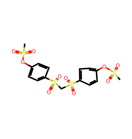 CS(=O)(=O)Oc1ccc(S(=O)(=O)CS(=O)(=O)c2ccc(OS(C)(=O)=O)cc2)cc1